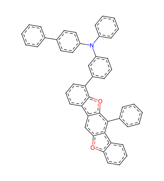 c1ccc(-c2ccc(N(c3ccccc3)c3cccc(-c4cccc5c4oc4c(-c6ccccc6)c6c(cc45)oc4ccccc46)c3)cc2)cc1